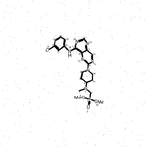 COP(=O)(CN(C)C1CCN(c2ncc3ncnc(Nc4cccc(Cl)c4)c3n2)CC1)OC